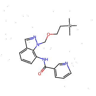 C[Si](C)(C)CCOCn1ncc2cccc(NC(=O)c3cccnc3)c21